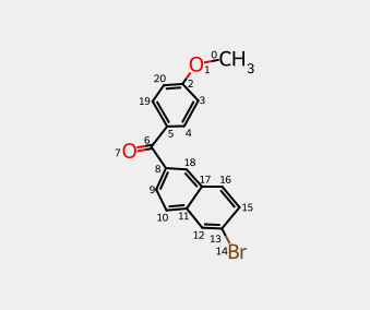 COc1ccc(C(=O)c2ccc3cc(Br)ccc3c2)cc1